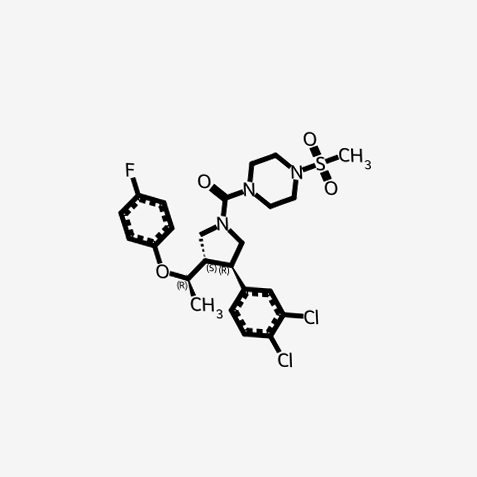 C[C@@H](Oc1ccc(F)cc1)[C@@H]1CN(C(=O)N2CCN(S(C)(=O)=O)CC2)C[C@H]1c1ccc(Cl)c(Cl)c1